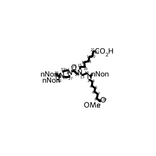 CCCCCCCCCN(CCCCCCCC(=O)OC)CCN(CCCCCCCC(=O)O)CC(=O)N1CCN(N(CCCCCCCCC)CCCCCCCCC)CC1